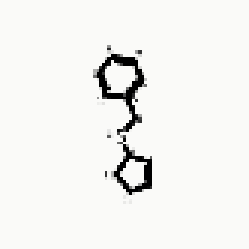 C1=CC(SCc2ccccc2)CC1